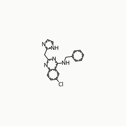 Clc1ccc2nc(Cc3ncc[nH]3)nc(NCc3ccccc3)c2c1